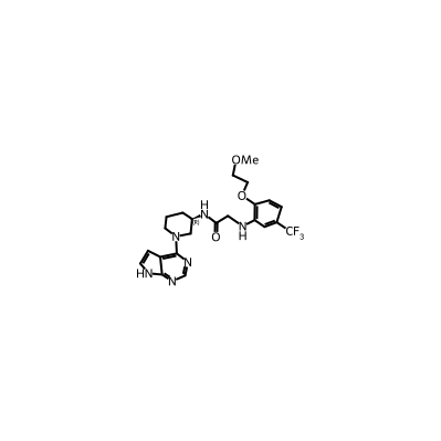 COCCOc1ccc(C(F)(F)F)cc1NCC(=O)N[C@@H]1CCCN(c2ncnc3[nH]ccc23)C1